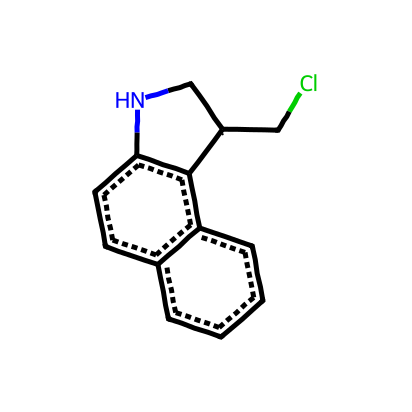 ClC[C]1CNc2ccc3ccccc3c21